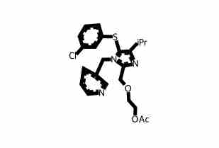 CC(=O)OCCOCc1nc(C(C)C)c(Sc2cccc(Cl)c2)n1Cc1cccnc1